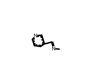 CN=Cc1cccnc1